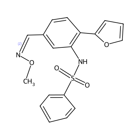 CO/N=C\c1ccc(-c2ccco2)c(NS(=O)(=O)c2ccccc2)c1